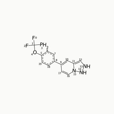 FC(F)(P)Oc1ccc(C2=CC3=CNNN3C=C2)cc1